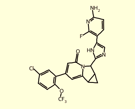 Nc1ccc(-c2cnc(C3C4CC4c4cc(-c5cc(Cl)ccc5OC(F)(F)F)cc(=O)n43)[nH]2)c(F)n1